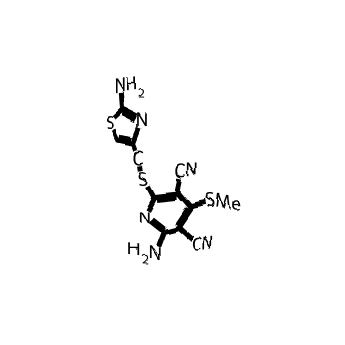 CSc1c(C#N)c(N)nc(SCc2csc(N)n2)c1C#N